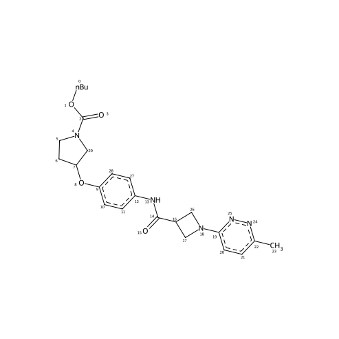 CCCCOC(=O)N1CCC(Oc2ccc(NC(=O)C3CN(c4ccc(C)nn4)C3)cc2)C1